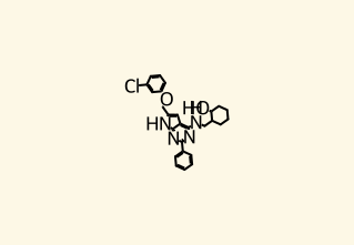 OC1CCCCC1CNc1nc(-c2ccccc2)nc2[nH]c(COc3cccc(Cl)c3)cc12